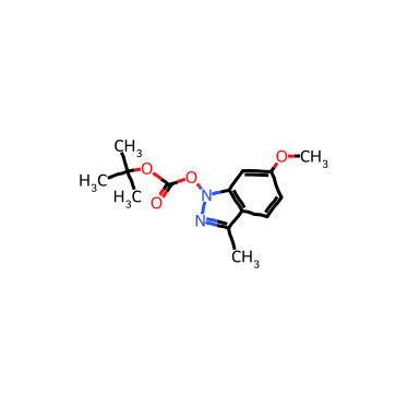 COc1ccc2c(C)nn(OC(=O)OC(C)(C)C)c2c1